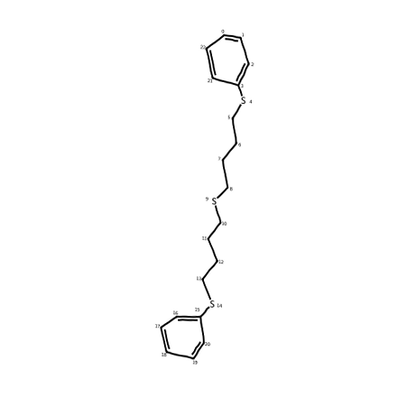 c1ccc(SCCCCSCCCCSc2ccccc2)cc1